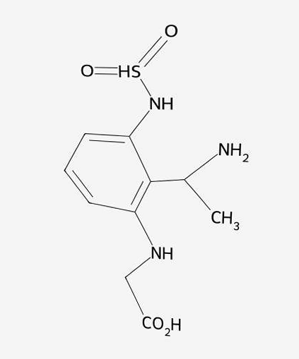 CC(N)c1c(NCC(=O)O)cccc1N[SH](=O)=O